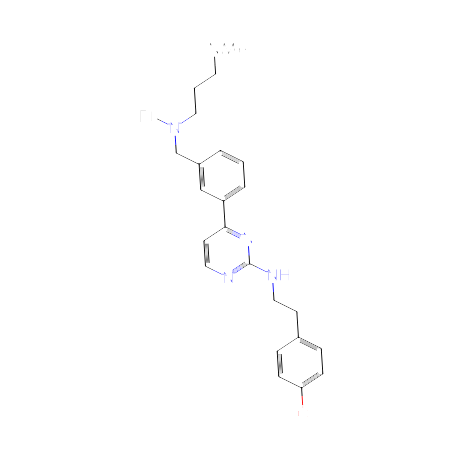 CCN(CCCNC)Cc1cccc(-c2ccnc(NCCc3ccc(O)cc3)n2)c1